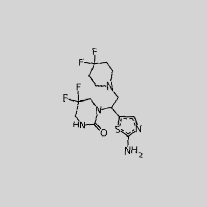 Nc1ncc(C(CN2CCC(F)(F)CC2)N2CC(F)(F)CNC2=O)s1